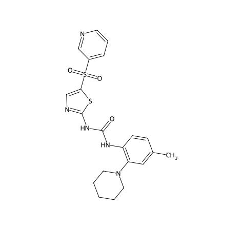 Cc1ccc(NC(=O)Nc2ncc(S(=O)(=O)c3cccnc3)s2)c(N2CCCCC2)c1